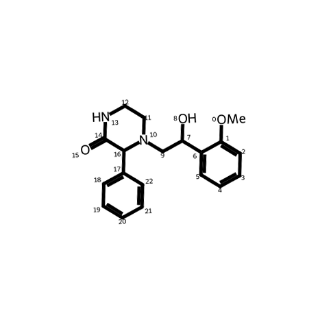 COc1ccccc1C(O)CN1CCNC(=O)C1c1ccccc1